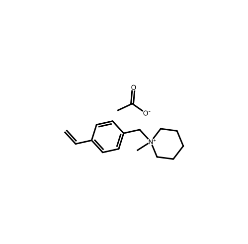 C=Cc1ccc(C[N+]2(C)CCCCC2)cc1.CC(=O)[O-]